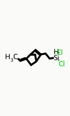 CC=C1CC2CC1C=C2CC[SiH](Cl)Cl